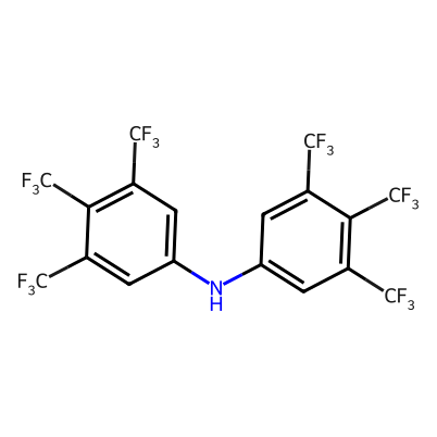 FC(F)(F)c1cc(Nc2cc(C(F)(F)F)c(C(F)(F)F)c(C(F)(F)F)c2)cc(C(F)(F)F)c1C(F)(F)F